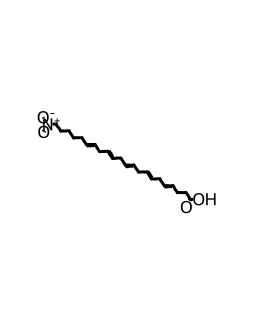 O=C(O)CCC=CCC=CCC=CCC=CCC=CCCCCC[N+](=O)[O-]